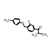 Cc1ccc(OCc2ccc(C(=O)C(C)C)cc2F)cc1